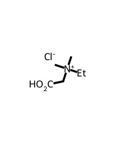 CC[N+](C)(C)CC(=O)O.[Cl-]